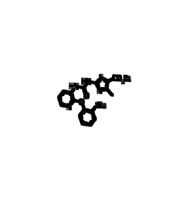 CCOC(=O)c1sc(NC(=O)Nc2cccnc2Oc2ccccc2C(C)(C)C)nc1C